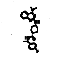 CC(NC(=O)[C@H]1CC[C@@H](Nc2nc(N(C)C)c3ccccc3n2)CC1)c1ccc(F)cc1